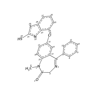 CN1C(=O)CN=C(c2ccccc2)c2cc(Cl)ccc21.Sc1nc2ccccc2s1